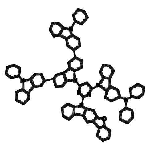 c1ccc(N(c2ccccc2)c2ccc3c(c2)c2ccccc2n3-c2cc(-n3c4ccc(-c5ccc6c(c5)c5ccccc5n6-c5ccccc5)cc4c4cc(-c5ccc6c(c5)c5ccccc5n6-c5ccccc5)ccc43)nc(-n3c4ccccc4c4cc5c(cc43)oc3ccccc35)n2)cc1